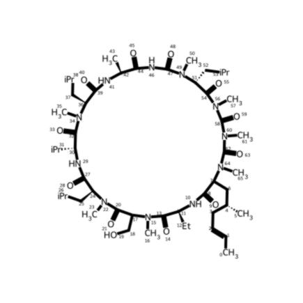 C/C=C/C[C@@H](C)CC1C(=O)N[C@@H](CC)C(=O)N(C)C(CO)C(=O)N(C)[C@@H](CC(C)C)C(=O)N[C@H](C(C)C)C(=O)N(C)[C@@H](CC(C)C)C(=O)N[C@@H](C)C(=O)NC(=O)N(C)[C@H](CC(C)C)C(=O)N(C)C(=O)N(C)C(=O)N1C